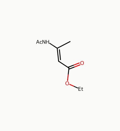 CCOC(=O)C=C(C)NC(C)=O